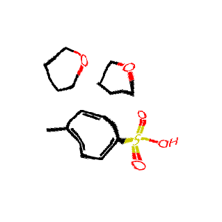 C1CCOC1.C1CCOC1.Cc1ccc(S(=O)(=O)O)cc1